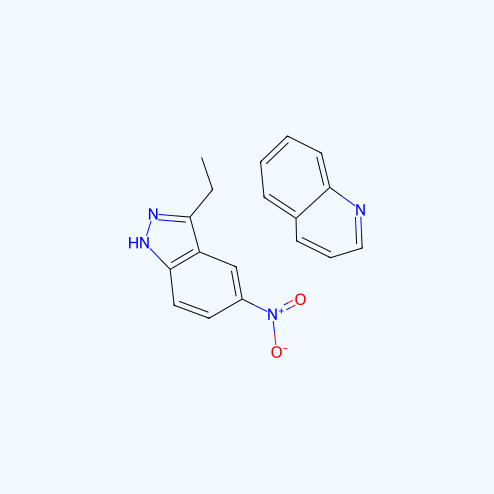 CCc1n[nH]c2ccc([N+](=O)[O-])cc12.c1ccc2ncccc2c1